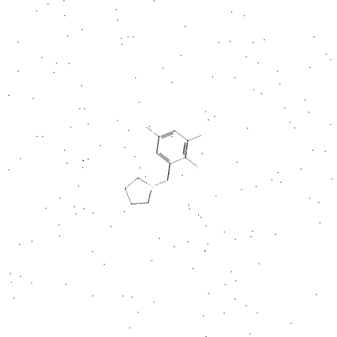 Cc1cc(Br)c(N)c(CN2CCCC2)c1